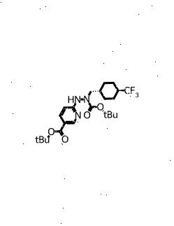 CC(C)(C)OC(=O)c1ccc(NN(C[C@H]2CC[C@H](C(F)(F)F)CC2)C(=O)OC(C)(C)C)nc1